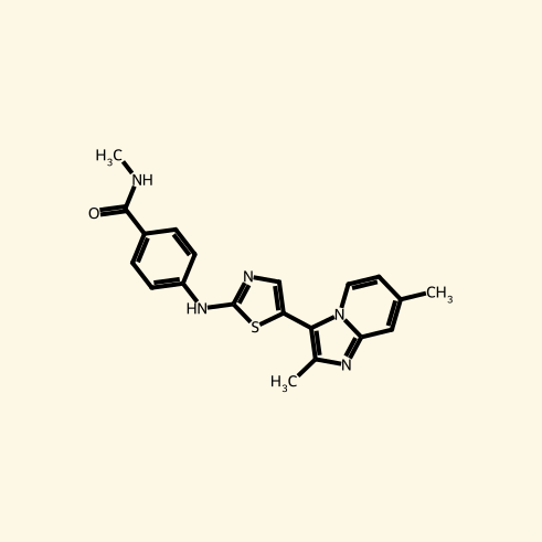 CNC(=O)c1ccc(Nc2ncc(-c3c(C)nc4cc(C)ccn34)s2)cc1